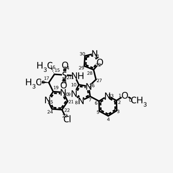 COc1cccc(-c2nnc(NS(=O)(=O)[C@@H](C)[C@H](C)c3ncc(Cl)cn3)n2Cc2ccno2)n1